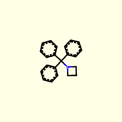 c1ccc(C(c2ccccc2)(c2ccccc2)N2CCC2)cc1